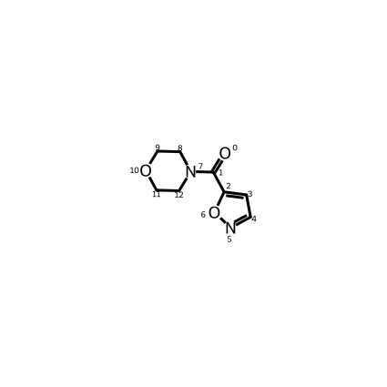 O=C(c1ccno1)N1CCOCC1